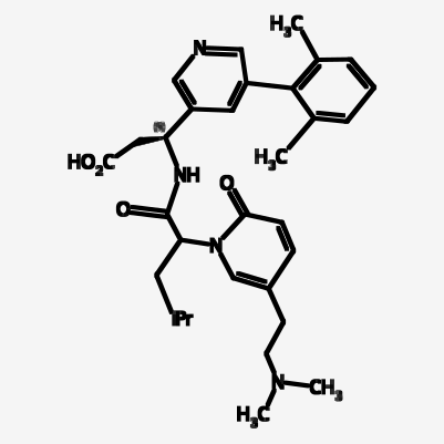 Cc1cccc(C)c1-c1cncc([C@H](CC(=O)O)NC(=O)C(CC(C)C)n2cc(CCN(C)C)ccc2=O)c1